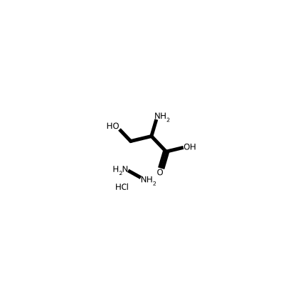 Cl.NC(CO)C(=O)O.NN